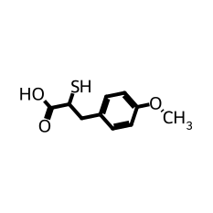 COc1ccc(CC(S)C(=O)O)cc1